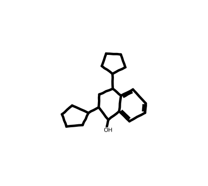 OC1c2ccccc2C(C2CCCC2)CC1C1CCCC1